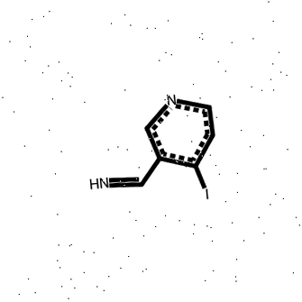 N=Cc1cnccc1I